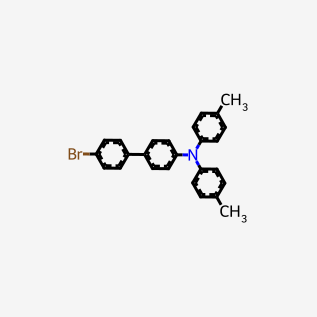 Cc1ccc(N(c2ccc(C)cc2)c2ccc(-c3ccc(Br)cc3)cc2)cc1